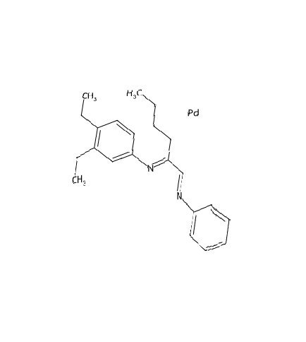 CCCCC(C=Nc1ccccc1)=Nc1ccc(CC)c(CC)c1.[Pd]